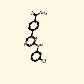 NC(=O)c1ccc(-c2cncc(Nc3cccc(Cl)c3)n2)cc1